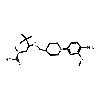 CNc1cc(N2CCC(COC(CN(C)C(=O)O)C(C)(C)C)CC2)ccc1N